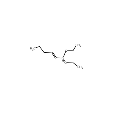 CCCC=C[SiH](OCC)OCC